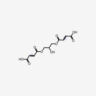 O=C(O)/C=C/C(=O)OCC(O)COC(=O)/C=C/C(=O)O